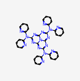 c1ccc(N(C2=NC3=NC(N(c4ccccn4)c4ccccn4)=NC4=NC(N(c5ccccn5)c5ccccn5)=NC(=N2)N34)c2ccccn2)nc1